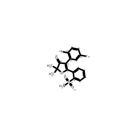 CC1(C)OC(c2ccccc2S(N)(=O)=O)=C(c2cc(F)ccc2F)C1=O